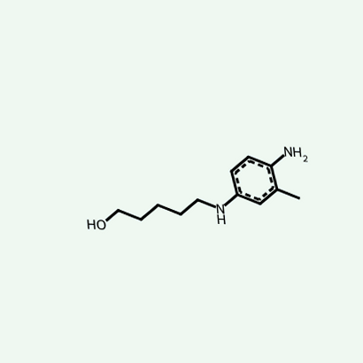 Cc1cc(NCCCCCO)ccc1N